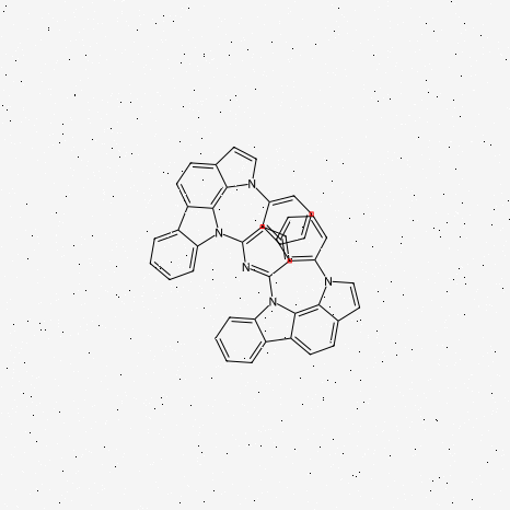 c1ccc(-n2ccc3ccc4c5ccccc5n(-c5cccc(-n6c7ccccc7c7ccc8ccn(-c9ccccc9)c8c76)n5)c4c32)cc1